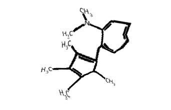 CC1=C(C)C(C)C(c2ccccc2N(C)C)=C1C